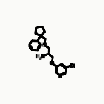 CCc1cncc(OC[C@@H](N)CNCC2(c3ccccc3)CCCC2)c1